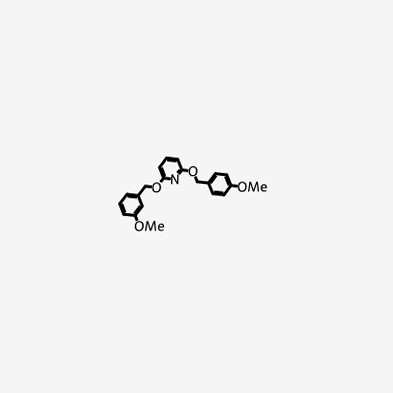 COc1ccc(COc2cccc(OCc3cccc(OC)c3)n2)cc1